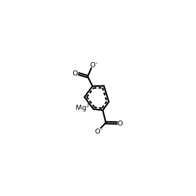 O=C([O-])c1ccc(C(=O)[O-])cc1.[Mg+2]